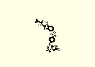 CS(=O)(=O)N1CC(=O)N/C1=N\c1ccc(S(=O)(=O)Oc2ccc3[nH]c(NC(=O)C4CC4)nc3c2)cc1